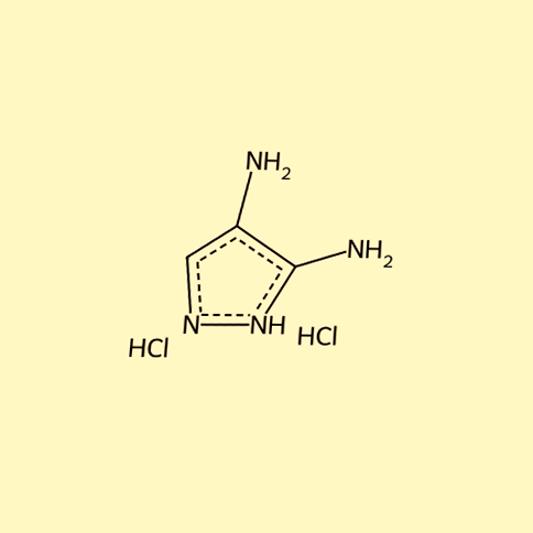 Cl.Cl.Nc1cn[nH]c1N